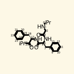 CC(C)NCC(=O)N[C@@H](Cc1ccccc1)C(=O)N[C@@H](Cc1ccccc1)C(=O)C(C)C